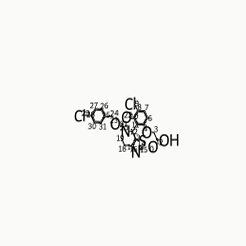 O=C(O)COc1ccc(Cl)cc1C1c2scnc2CCN1C(=O)OCc1ccc(Cl)cc1